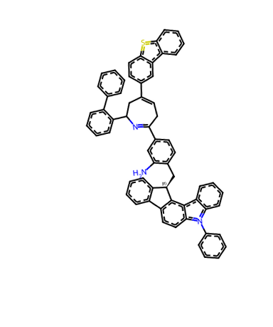 Nc1cc(C2=NC(c3ccccc3-c3ccccc3)CC(c3ccc4sc5ccccc5c4c3)=CC2)ccc1C[C@@H]1c2ccccc2-c2ccc3c(c21)c1ccccc1n3-c1ccccc1